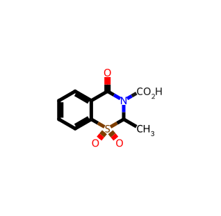 CC1N(C(=O)O)C(=O)c2ccccc2S1(=O)=O